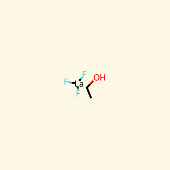 CCO.[F][La]([F])[F]